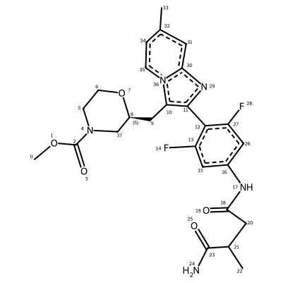 COC(=O)N1CCO[C@@H](Cc2c(-c3c(F)cc(NC(=O)CC(C)C(N)=O)cc3F)nc3cc(C)ccn23)C1